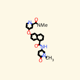 CNC(=O)c1cc(Oc2ccc3c(C(=O)Nc4ccc(=O)n(C)c4)cccc3c2)ccn1